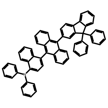 c1ccc(N(c2ccccc2)c2ccc(-c3c4ccccc4c(-c4ccc5c(c4)C(c4ccccc4)(c4ccccc4)c4ccccc4-5)c4ccccc34)c3ccccc23)cc1